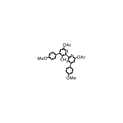 COc1ccc(-c2cc(OC(C)=O)nc(-c3nc(OC(C)=O)cc(-c4ccc(OC)cc4)c3C)c2)cc1